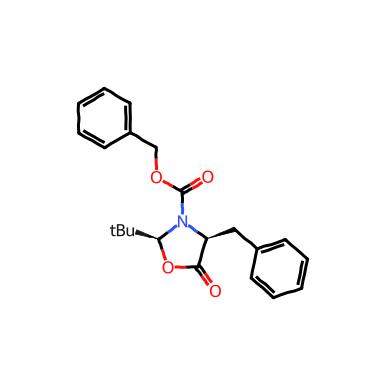 CC(C)(C)[C@@H]1OC(=O)[C@H](Cc2ccccc2)N1C(=O)OCc1ccccc1